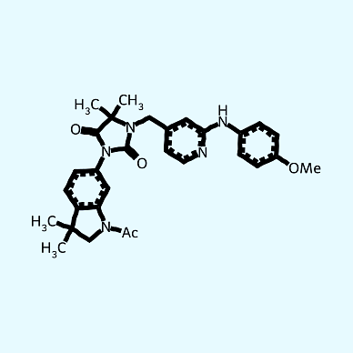 COc1ccc(Nc2cc(CN3C(=O)N(c4ccc5c(c4)N(C(C)=O)CC5(C)C)C(=O)C3(C)C)ccn2)cc1